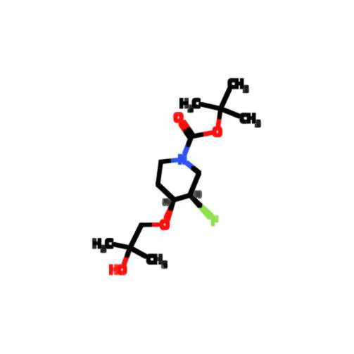 CC(C)(O)CO[C@H]1CCN(C(=O)OC(C)(C)C)C[C@H]1F